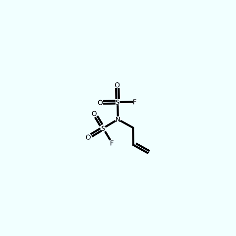 C=CCN(S(=O)(=O)F)S(=O)(=O)F